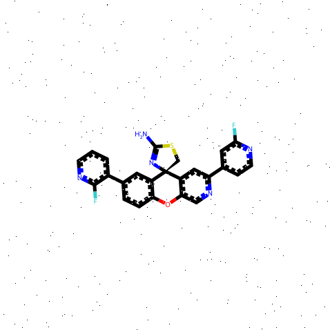 NC1=N[C@@]2(CS1)c1cc(-c3cccnc3F)ccc1Oc1cnc(-c3ccnc(F)c3)cc12